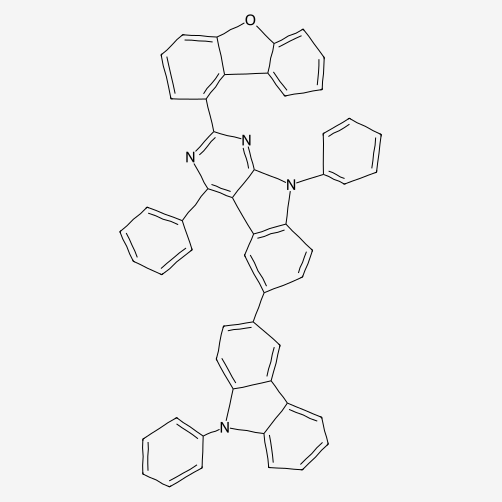 c1ccc(-c2nc(-c3cccc4oc5ccccc5c34)nc3c2c2cc(-c4ccc5c(c4)c4ccccc4n5-c4ccccc4)ccc2n3-c2ccccc2)cc1